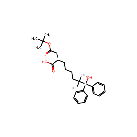 CC(C)(C)OC(=O)C[C@H](CCCCC(C)(C)[Si](O)(c1ccccc1)c1ccccc1)C(=O)O